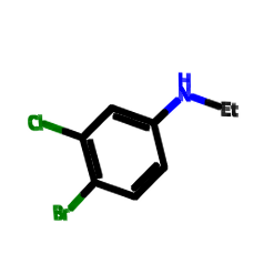 CCNc1ccc(Br)c(Cl)c1